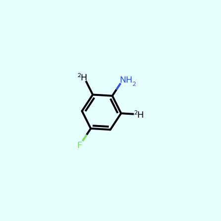 [2H]c1cc(F)cc([2H])c1N